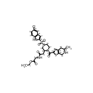 CCOC(=O)CNC(=O)CC1CN(S(=O)(=O)c2cc3cc(Cl)ccc3[nH]2)CCN1C(=O)c1nc2c(s1)CNC(C)C2